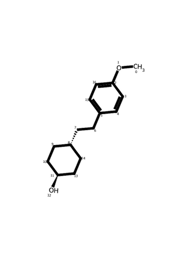 COc1ccc(CC[C@H]2CC[C@H](O)CC2)cc1